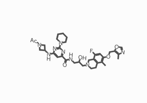 CC(=O)N1CC(Nc2cc(C(=O)NCC(O)CN3CCc4c(C)c(OCc5ocnc5C)cc(F)c4C3)nc(N3CCCCC3)n2)C1